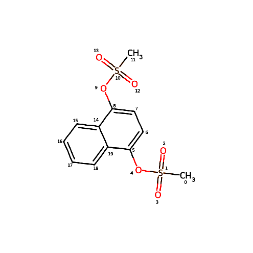 CS(=O)(=O)Oc1ccc(OS(C)(=O)=O)c2ccccc12